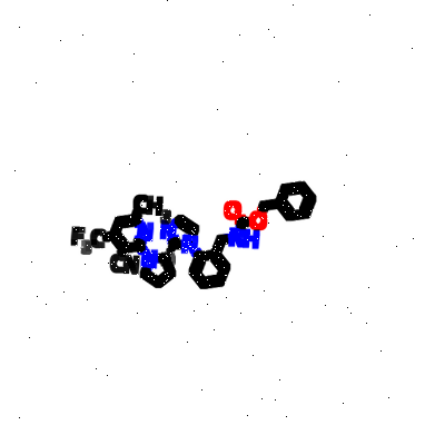 Cc1cc(C(F)(F)F)c(C#N)c(N2CCC[C@H]2c2nccn2-c2ccccc2CNC(=O)OCc2ccccc2)n1